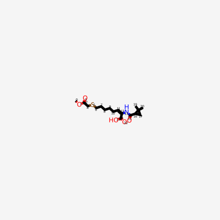 COC(=O)CSCCCCC/C=C(/NC(=O)C1CC1(C)C)C(=O)O